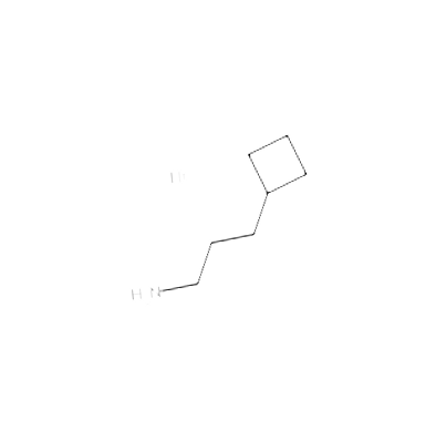 Cl.NCCCC1CCC1